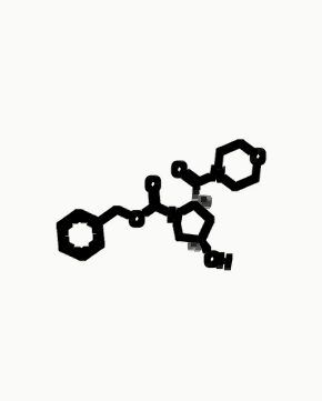 O=C([C@@H]1C[C@@H](O)CN1C(=O)OCc1ccccc1)N1CCOCC1